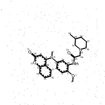 COc1ccc(N(C)c2cc(=O)oc3ccccc23)cc1NC(=O)CN1CCCC(C)C1